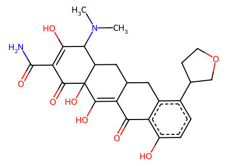 CN(C)C1C(O)=C(C(N)=O)C(=O)C2(O)C(O)=C3C(=O)c4c(O)ccc(C5CCOC5)c4CC3CC12